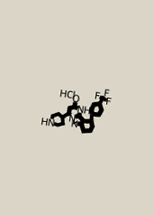 Cl.O=c1cc(C2CCNCC2)n2nc3cccc(-c4ccc(C(F)(F)F)cc4)c3c2[nH]1